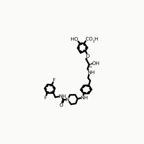 O=C(O)c1cc(OC[C@@H](O)CNCCc2ccc(NC3CCN(C(=O)NCc4cc(F)ccc4F)CC3)cc2)ccc1O